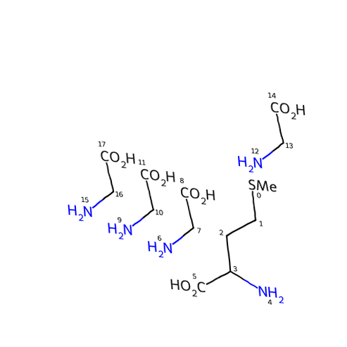 CSCCC(N)C(=O)O.NCC(=O)O.NCC(=O)O.NCC(=O)O.NCC(=O)O